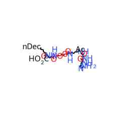 CCCCCCCCCCCCCCCC(=O)N[C@@H](CCC(=O)NCCOCCOCC(=O)NCCCC[C@H](NCC(=O)C(C)(C)NC(=O)[C@@H](N)Cc1cnc[nH]1)C(C)=O)C(=O)O